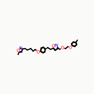 Cc1ccc(OCCOCc2cc(CCc3ccc(OCCCCCc4cc(C)on4)cc3)on2)cc1